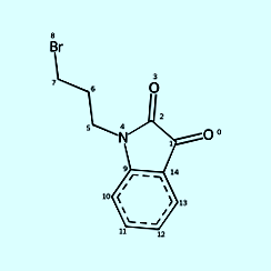 O=C1C(=O)N(CCCBr)c2ccccc21